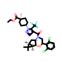 CCOC(=O)[C@]1(C)CC[C@@H](n2ncc(C(=O)N(CC(O)c3c(Cl)cccc3Cl)[C@H]3C[C@@H]4[C@H](C3)C4(C)C)c2C(F)(F)F)CC1